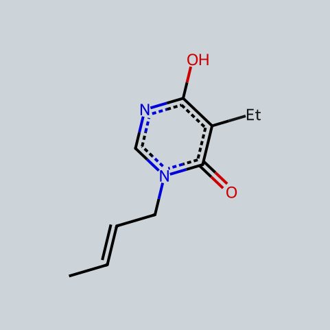 C/C=C/Cn1cnc(O)c(CC)c1=O